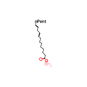 BOC(=O)CCCCCCC/C=C/C/C=C/CCCCC